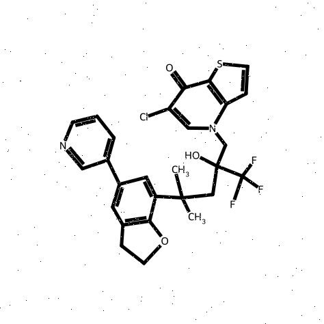 CC(C)(CC(O)(Cn1cc(Cl)c(=O)c2sccc21)C(F)(F)F)c1cc(-c2cccnc2)cc2c1OCC2